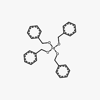 c1ccc(C[O][Hf]([O]Cc2ccccc2)([O]Cc2ccccc2)[O]Cc2ccccc2)cc1